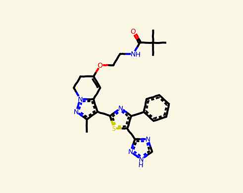 Cc1nn2c(c1-c1nc(-c3ccccc3)c(-c3nc[nH]n3)s1)C=C(OCCNC(=O)C(C)(C)C)CC2